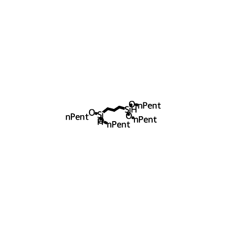 CCCCCO[SiH](CCC[SiH](OCCCCC)OCCCCC)OCCCCC